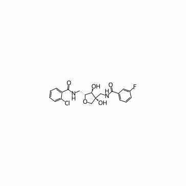 O=C(NC[C@]1(O)CO[C@H](CNC(=O)c2ccccc2Cl)[C@H]1O)c1cccc(F)c1